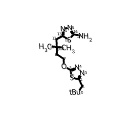 CC(C)(C)Cc1nnc(OCCC(C)(C)Cc2nnc(N)s2)s1